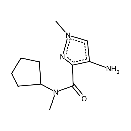 CN(C(=O)c1nn(C)cc1N)C1CCCC1